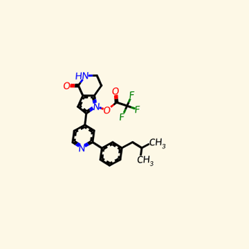 CC(C)Cc1cccc(-c2cc(-c3cc4c(n3OC(=O)C(F)(F)F)CCNC4=O)ccn2)c1